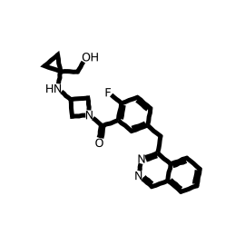 O=C(c1cc(Cc2nncc3ccccc23)ccc1F)N1CC(NC2(CO)CC2)C1